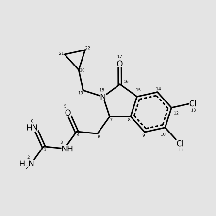 N=C(N)NC(=O)CC1c2cc(Cl)c(Cl)cc2C(=O)N1CC1CC1